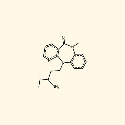 CCC(N)CCN1c2ccccc2N(C)C(=O)c2cccnc21